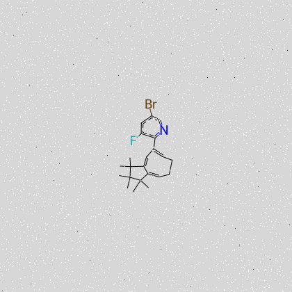 CC1(C)C2=C/CC/C=C(c3ncc(Br)cc3F)/C=C\2C(C)(C)C1(C)C